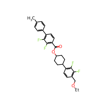 CCOCc1ccc(C2CCC(OC(=O)c3ccc(-c4ccc(C)cc4)c(F)c3F)CC2)c(F)c1F